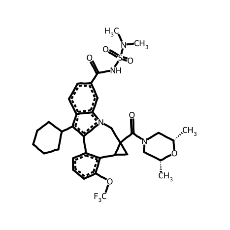 C[C@@H]1CN(C(=O)C23CC2c2c(OC(F)(F)F)cccc2-c2c(C4CCCCC4)c4ccc(C(=O)NS(=O)(=O)N(C)C)cc4n2C3)C[C@H](C)O1